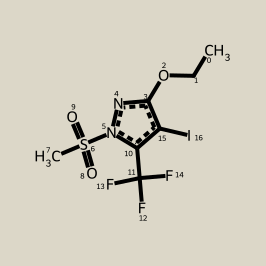 CCOc1nn(S(C)(=O)=O)c(C(F)(F)F)c1I